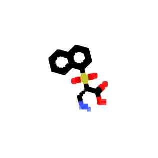 NC[C@@H](C(=O)O)S(=O)(=O)c1cccc2ccccc12